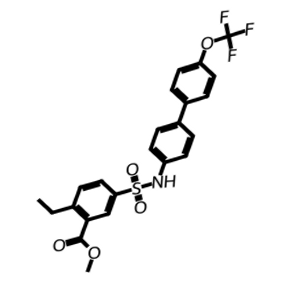 CCc1ccc(S(=O)(=O)Nc2ccc(-c3ccc(OC(F)(F)F)cc3)cc2)cc1C(=O)OC